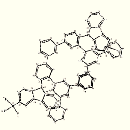 Cc1ccc2c(c1)c1ccccc1n2-c1ccc(-c2cccc(-c3ccc(-n4c5ccccc5c5cc(C(F)(F)F)ccc54)c(-c4nc(-c5ccccc5)nc(-c5ccccc5)n4)c3)c2)cc1-c1nc(-c2ccccc2)nc(-c2ccccc2)n1